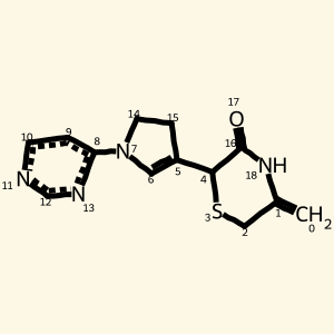 C=C1CSC(C2=CN(c3ccncn3)CC2)C(=O)N1